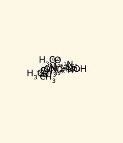 CC(=O)c1nn(CC(=O)OC(C)(C)C)c2ccc(-c3cnc(CO)nc3)cc12